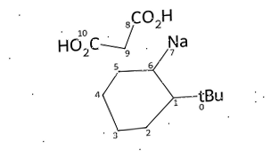 CC(C)(C)C1CCCC[CH]1[Na].O=C(O)CC(=O)O